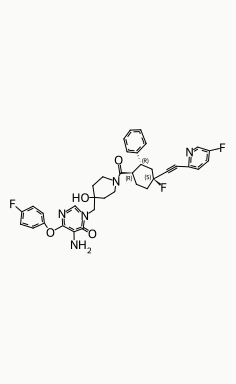 Nc1c(Oc2ccc(F)cc2)ncn(CC2(O)CCN(C(=O)[C@@H]3CC[C@@](F)(C#Cc4ccc(F)cn4)C[C@H]3c3ccccc3)CC2)c1=O